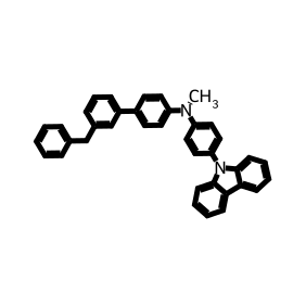 CN(c1ccc(-c2cccc(Cc3ccccc3)c2)cc1)c1ccc(-n2c3ccccc3c3ccccc32)cc1